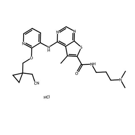 Cc1c(C(=O)NCCCN(C)C)sc2ncnc(Nc3cccnc3OCC3(CC#N)CC3)c12.Cl